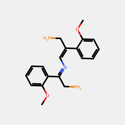 COc1ccccc1/C(=C\N=C(\CP)c1ccccc1OC)CP